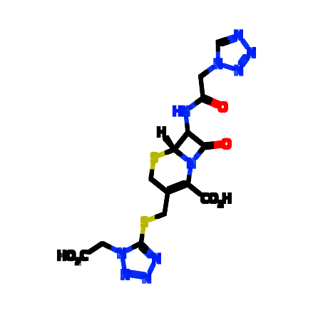 O=C(O)Cn1nnnc1SCC1=C(C(=O)O)N2C(=O)C(NC(=O)Cn3cnnn3)[C@H]2SC1